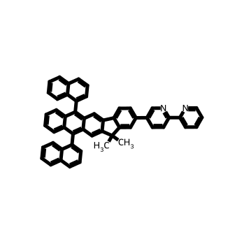 CC1(C)c2cc(-c3ccc(-c4ccccn4)nc3)ccc2-c2cc3c(-c4cccc5ccccc45)c4ccccc4c(-c4cccc5ccccc45)c3cc21